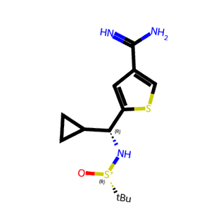 CC(C)(C)[S@+]([O-])N[C@@H](c1cc(C(=N)N)cs1)C1CC1